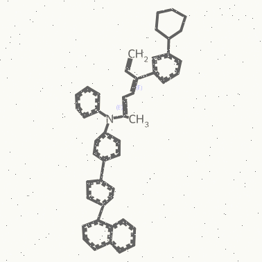 C=C/C(=C\C=C(/C)N(c1ccccc1)c1ccc(-c2ccc(-c3cccc4ccccc34)cc2)cc1)c1cccc(C2CCCCC2)c1